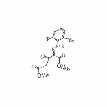 COC(=O)CC(=O)C(=NNc1c(F)cccc1Br)C(=O)OC